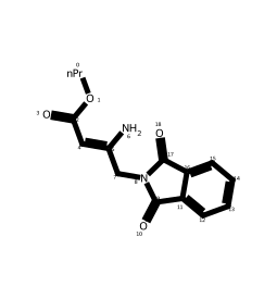 CCCOC(=O)C=C(N)CN1C(=O)c2ccccc2C1=O